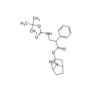 CN1C2CCC1CC(OC(=O)C(CNC(=O)OC(C)(C)C)c1ccccc1)C2